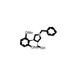 COc1cccc(OC)c1[C@H]1CN(Cc2ccccc2)C[C@@H]1CO